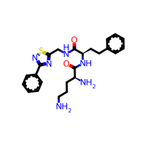 NCCC[C@H](N)C(=O)N[C@H](CCc1ccccc1)C(=O)NCc1nc(-c2ccccc2)ns1